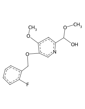 COc1cc(C(O)OC)ncc1OCc1ccccc1F